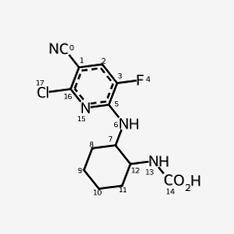 N#Cc1cc(F)c(NC2CCCCC2NC(=O)O)nc1Cl